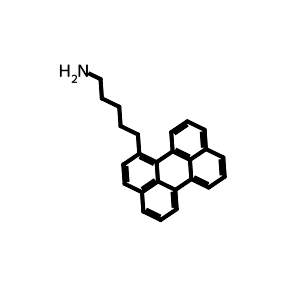 NCCCCCc1ccc2cccc3c4cccc5cccc(c1c23)c54